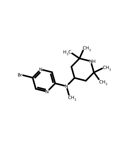 CN(c1cnc(Br)cn1)C1CC(C)(C)NC(C)(C)C1